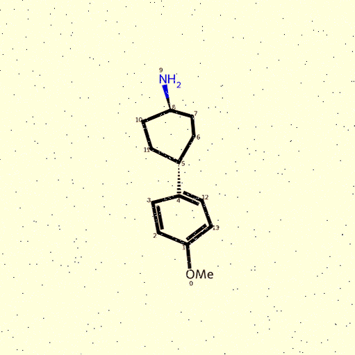 COc1ccc([C@H]2CC[C@H](N)CC2)cc1